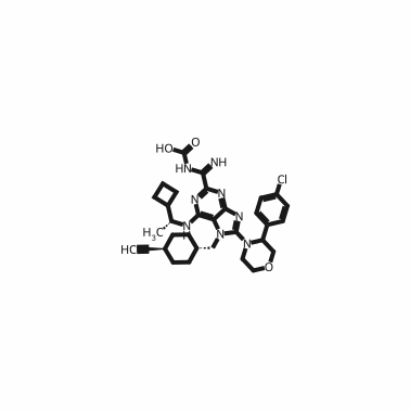 C#C[C@H]1CC[C@H](Cn2c(N3CCOCC3c3ccc(Cl)cc3)nc3nc(C(=N)NC(=O)O)nc(N[C@H](C)C4CCC4)c32)CC1